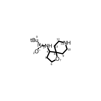 CC(C)(C)[S@@+]([O-])NC1CCOC12CCNCC2